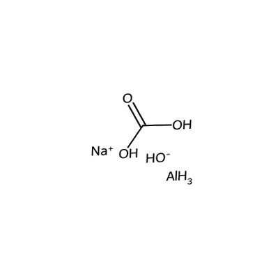 O=C(O)O.[AlH3].[Na+].[OH-]